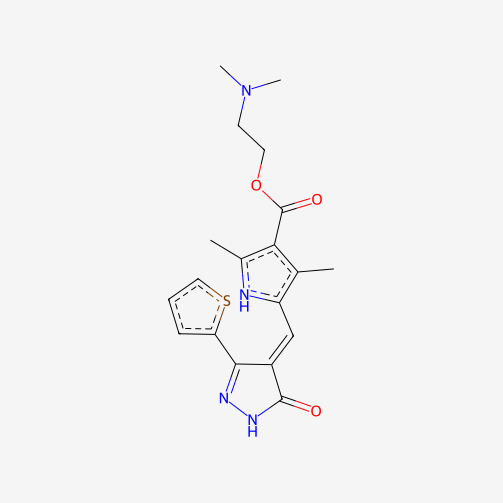 Cc1[nH]c(/C=C2/C(=O)NN=C2c2cccs2)c(C)c1C(=O)OCCN(C)C